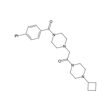 CC(C)c1ccc(C(=O)N2CCN(CC(=O)N3CCN(C4CCC4)CC3)CC2)cc1